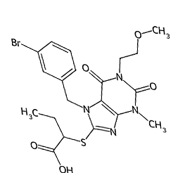 CCC(Sc1nc2c(c(=O)n(CCOC)c(=O)n2C)n1Cc1cccc(Br)c1)C(=O)O